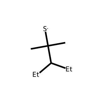 CCC(CC)C(C)(C)[S]